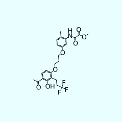 COC(=O)C(=O)Nc1cc(OCCCOc2ccc(C(C)=O)c(O)c2CCC(F)(F)F)ccc1C